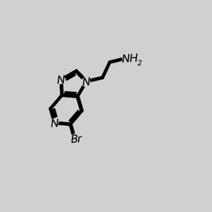 NCCn1cnc2cnc(Br)cc21